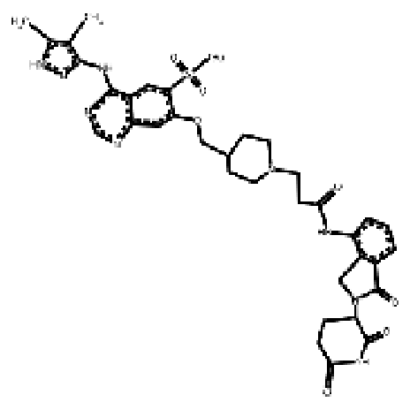 Cc1[nH]nc(Nc2ncnc3cc(OCC4CCN(CCC(=O)Nc5cccc6c5CN(C5CCC(=O)NC5=O)C6=O)CC4)c(S(=O)(=O)C(C)(C)C)cc23)c1C